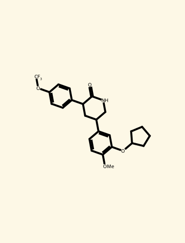 COc1ccc(C2CNC(=O)C(c3ccc(OC(F)(F)F)cc3)C2)cc1OC1CCCC1